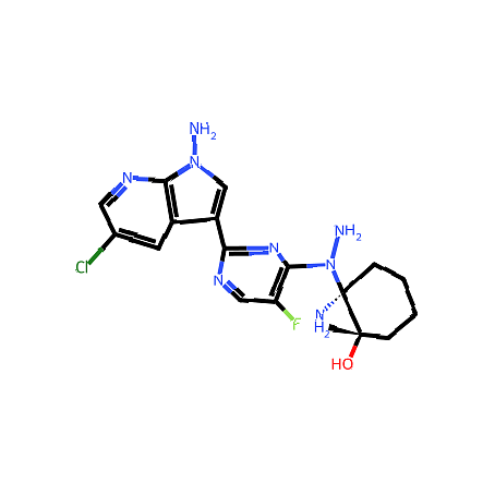 C[C@]1(O)CCCC[C@]1(N)N(N)c1nc(-c2cn(N)c3ncc(Cl)cc23)ncc1F